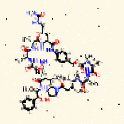 CCC(C)[C@@H]([C@@H](CC(=O)N1CCC[C@H]1[C@H](OC)[C@@H](C)C(=O)N[C@H](C)C(O)c1ccccc1)OC)N(C)C(=O)[C@@H](NC(=O)[C@H](C(C)C)N(C)C(=O)OCc1ccc(NC(=O)[C@H](CCCNC(N)=O)NC(=O)[C@@H](NC(=O)C(C)NC(=O)CON)C(C)C)cc1)C(C)C